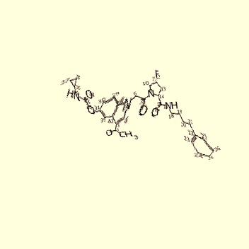 CC(=O)c1cn(CC(=O)N2C[C@H](F)C[C@H]2C(=O)NCCCCc2ccccc2)c2ccc(OC(=O)NC3CC3)cc12